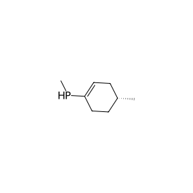 CPC1=CC[C@H](C)CC1